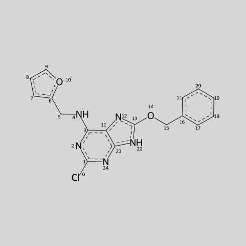 Clc1nc(NCc2ccco2)c2nc(OCc3ccccc3)[nH]c2n1